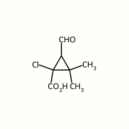 CC1(C)C(C=O)C1(Cl)C(=O)O